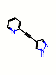 C(#Cc1ccccn1)c1cn[nH]c1